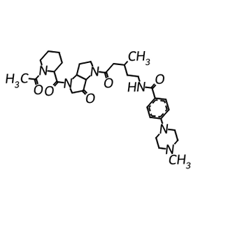 CC(=O)N1CCCCC1C(=O)N1CC(=O)C2C1CCN2C(=O)CC(C)CCNC(=O)c1ccc(N2CCN(C)CC2)cc1